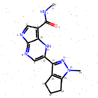 CC(C)NC(=O)c1cnc2ncc(-c3nn(C)c4c3CCC4)[nH]c1-2